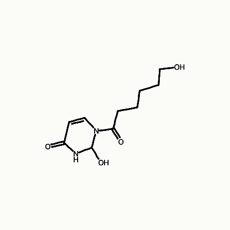 O=C1C=CN(C(=O)CCCCCO)C(O)N1